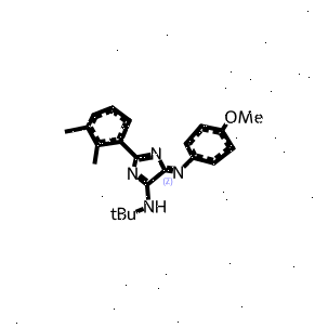 COc1ccc(/N=C2\N=C(c3cccc(C)c3C)N=C2NC(C)(C)C)cc1